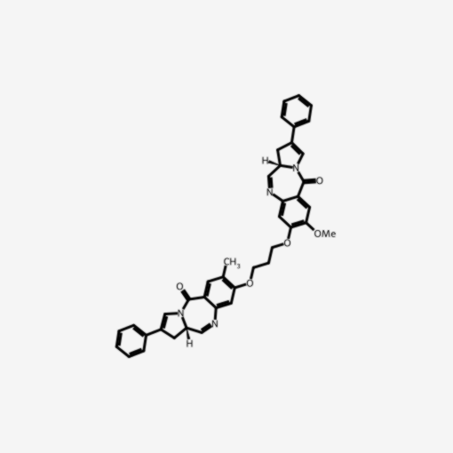 COc1cc2c(cc1OCCCOc1cc3c(cc1C)C(=O)N1C=C(c4ccccc4)C[C@H]1C=N3)N=C[C@@H]1CC(c3ccccc3)=CN1C2=O